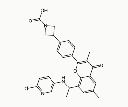 Cc1cc(C(C)Nc2ccc(Cl)nc2)c2oc(-c3ccc(C4CN(C(=O)O)C4)cc3)c(C)c(=O)c2c1